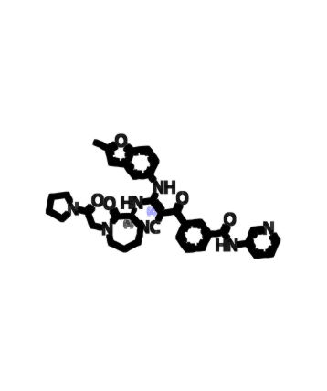 Cc1cc2cc(N/C(N[C@H]3CCCCN(CC(=O)N4CCCC4)C3=O)=C(/C#N)C(=O)c3cccc(C(=O)Nc4cccnc4)c3)ccc2o1